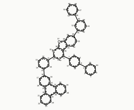 c1ccc(-c2ccc(-c3nc(-c4cccc(-c5ccc6c7ccccc7c7ccccc7c6c5)c4)nc4oc5cc(-c6cccc(-c7ccccc7)c6)ccc5c34)cc2)cc1